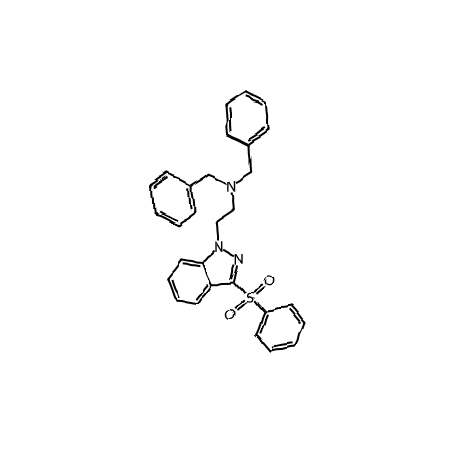 O=S(=O)(c1ccccc1)c1nn(CCN(Cc2ccccc2)Cc2ccccc2)c2ccccc12